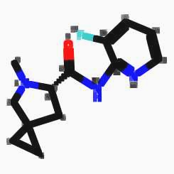 CN1CC2(CC2)C[C@H]1C(=O)Nc1ncccc1F